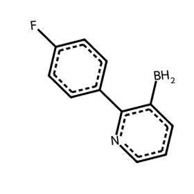 Bc1cccnc1-c1ccc(F)cc1